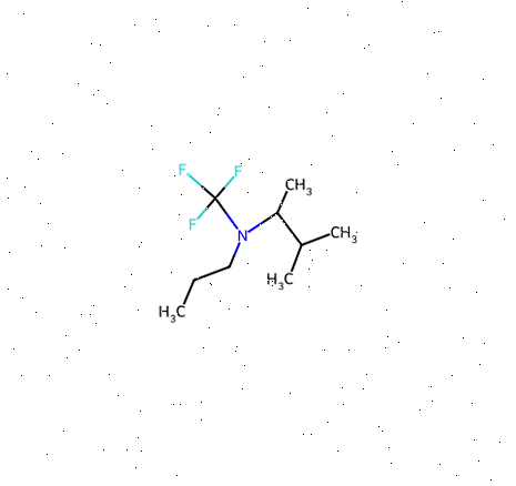 CCCN(C(C)C(C)C)C(F)(F)F